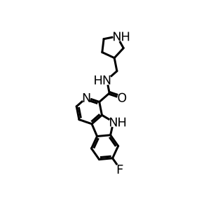 O=C(NCC1CCNC1)c1nccc2c1[nH]c1cc(F)ccc12